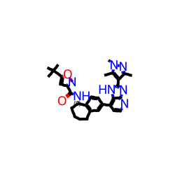 Cc1nn(C)c(C)c1-c1nc2nccc(-c3ccc4c(c3)CCCC[C@@H]4NC(=O)c3cc(C(C)(C)C)on3)c2[nH]1